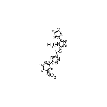 Cn1c(SCc2noc(-c3cccc([N+](=O)[O-])c3)n2)nnc1-c1cccs1